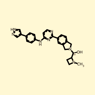 CN1CCC1[C@H](O)N1Cc2ccc(-c3nccc(Nc4ccc(-c5cn[nH]c5)cc4)n3)cc2C1